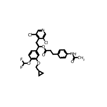 CC(=O)Nc1ccc(CCC(=O)OC(Cc2c(Cl)cncc2Cl)c2ccc(OC(F)F)c(OCC3CC3)c2)cc1